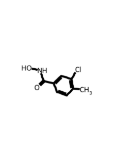 Cc1ccc(C(=O)NO)cc1Cl